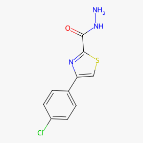 NNC(=O)c1nc(-c2ccc(Cl)cc2)cs1